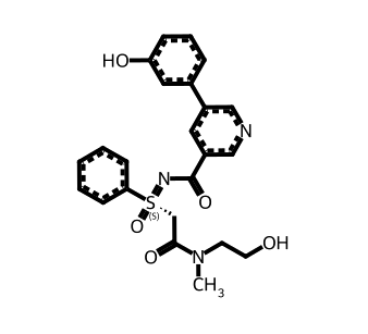 CN(CCO)C(=O)C[S@@](=O)(=NC(=O)c1cncc(-c2cccc(O)c2)c1)c1ccccc1